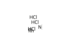 Cl.Cl.Cl.[N].[Rh]